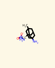 CC12CC3CC(C)(C1)CC(N)(C3)C2.N[N+](=O)[O-]